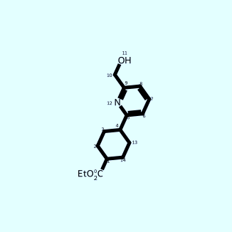 CCOC(=O)C1CCC(c2cccc(CO)n2)CC1